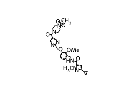 COc1c(CNC(=O)c2cc(C3CC3)nn2C)cccc1OCc1ncc(C(=O)N2CCN(S(C)(=O)=O)CC2)cn1